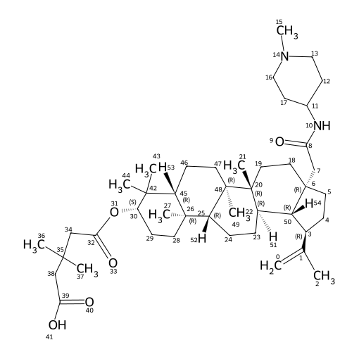 C=C(C)[C@@H]1CC[C@]2(CC(=O)NC3CCN(C)CC3)CC[C@]3(C)[C@H](CC[C@@H]4[C@@]5(C)CC[C@H](OC(=O)CC(C)(C)CC(=O)O)C(C)(C)[C@@H]5CC[C@]43C)[C@@H]12